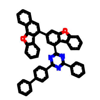 c1ccc(-c2ccc(-c3nc(-c4ccccc4)nc(-c4cc(-c5cc6ccccc6c6oc7ccccc7c56)cc5oc6ccccc6c45)n3)cc2)cc1